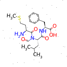 CSCC[C@H](N)C(=O)N(C=O)[C@@H](CC(C)C)C(=O)N[C@@H](Cc1ccccc1)C(=O)O